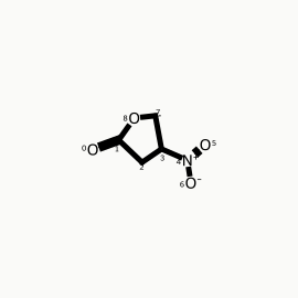 O=C1CC([N+](=O)[O-])[CH]O1